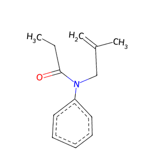 C=C(C)CN(C(=O)CC)c1ccccc1